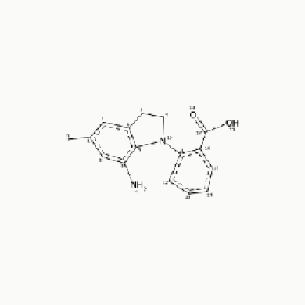 Cc1cc(N)c2c(c1)CCN2c1ccccc1C(=O)O